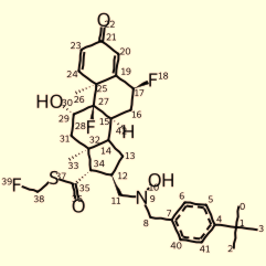 CC(C)(C)c1ccc(CN(O)C[C@@H]2CC3[C@@H]4C[C@H](F)C5=CC(=O)C=C[C@]5(C)[C@@]4(F)[C@@H](O)C[C@]3(C)[C@H]2C(=O)SCF)cc1